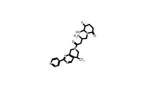 NC(CC(=O)N1Cc2nc(-c3ccncc3)ncc2C(C(F)(F)F)C1)CN1C(=O)CCC(F)C1O